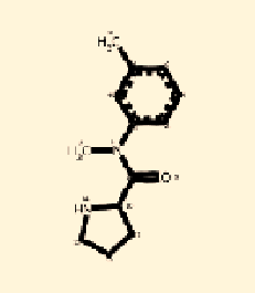 Cc1cccc(N(C)C(=O)C2CCCN2)c1